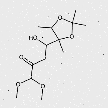 COC(OC)C(=O)CC(O)C1(C)OC(C)(C)OC1C